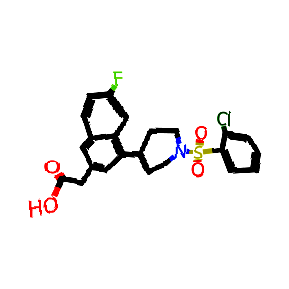 O=C(O)Cc1cc(C2CCN(S(=O)(=O)c3ccccc3Cl)CC2)c2cc(F)ccc2c1